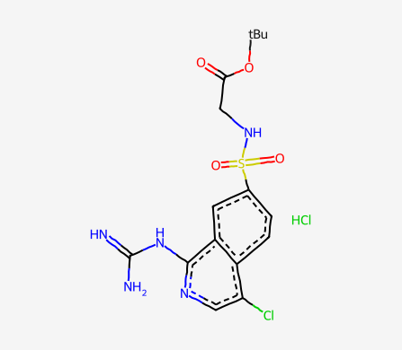 CC(C)(C)OC(=O)CNS(=O)(=O)c1ccc2c(Cl)cnc(NC(=N)N)c2c1.Cl